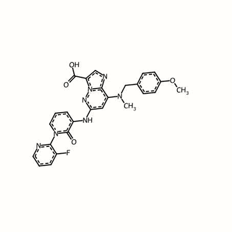 COc1ccc(CN(C)c2cc(Nc3cccn(-c4ncccc4F)c3=O)nn3c(C(=O)O)cnc23)cc1